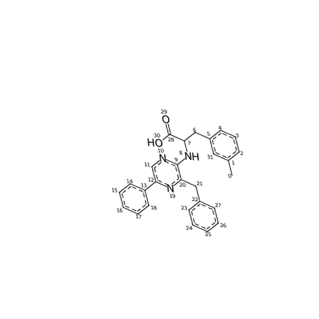 Cc1cccc(CC(Nc2ncc(-c3ccccc3)nc2Cc2ccccc2)C(=O)O)c1